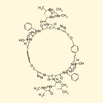 CN[C@@H](C)C(=O)N[C@@H](CC(C)C)C(=O)N1C[C@@H]2C[C@H]1C(=O)N[C@@H](Cc1ccccc1)C(=O)N[C@H](C(=O)O)Cc1ccc(cc1)OCc1cn(nn1)[C@H]1C[C@@H](C(=O)N[C@@H](Cc3ccccc3)C(=O)N[C@H](C(=O)O)Cc3ccc(cc3)OCc3cn2nn3)N(C(=O)[C@H](CC(C)C)NC(=O)[C@H](C)NC)C1